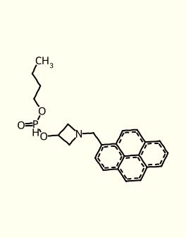 CCCCO[PH](=O)OC1CN(Cc2ccc3ccc4cccc5ccc2c3c45)C1